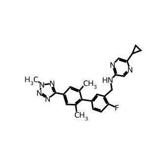 Cc1cc(-c2nnn(C)n2)cc(C)c1-c1ccc(F)c(CNc2cnc(C3CC3)cn2)c1